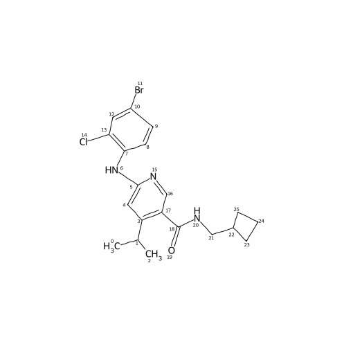 CC(C)c1cc(Nc2ccc(Br)cc2Cl)ncc1C(=O)NCC1CCC1